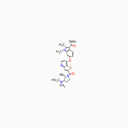 CNC(=O)c1c(C)n(C)c2cc(Oc3ccnc4cc(C(=O)N5CC[C@@H](N(C)C(=O)O)C5C(C)(C)C)sc34)ccc12